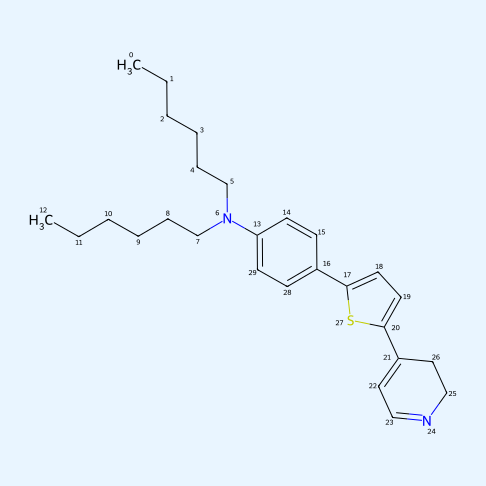 CCCCCCN(CCCCCC)c1ccc(-c2ccc(C3=CC=NCC3)s2)cc1